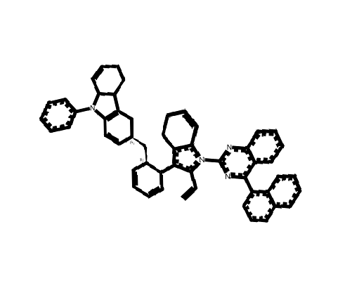 C=Cc1c(C2C=CC=C[C@H]2C[C@H]2C=CC3=C(C2)C2CCC=CC2N3c2ccccc2)c2c(n1-c1nc(-c3cccc4ccccc34)c3ccccc3n1)C=CCC2